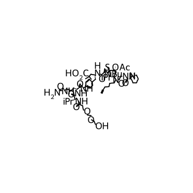 C#CCCCCN(C(=O)[C@@H](NC(=O)[C@H]1CCCCN1C)[C@@H](C)CC)[C@H](C[C@@H](OC(C)=O)c1nc(C(=O)N[C@@H](Cc2ccc(NC(=O)[C@H](CCCNC(N)=O)NC(=O)[C@@H](NC(=O)CCOCCOCCO)C(C)C)cc2)CC(C)(C)C(=O)O)cs1)C(C)C